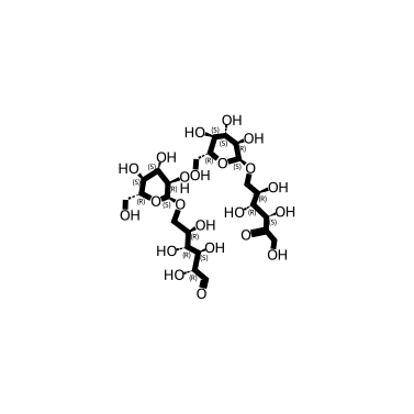 O=C(CO)[C@@H](O)[C@H](O)[C@H](O)CO[C@H]1O[C@H](CO)[C@@H](O)[C@H](O)[C@H]1O.O=C[C@H](O)[C@@H](O)[C@H](O)[C@H](O)CO[C@H]1O[C@H](CO)[C@@H](O)[C@H](O)[C@H]1O